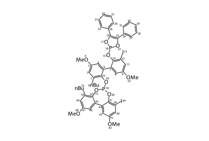 CCCCc1cc(OC)cc(-c2cc(OC)cc(I)c2OP2OC(c3ccccc3)=C(c3ccccc3)O2)c1Op1oc2c(I)cc(OC)cc2c2cc(OC)cc(CCCC)c2o1